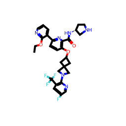 CCOc1ncccc1-c1ccc(OC2CC3(C2)CN(c2ncc(F)cc2C(F)(F)F)C3)c(C(=O)N[C@@H]2CCNC2)n1